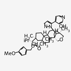 COc1ccc(COC(=O)[C@@H]2[C@@](C)([C@H](C)C(C)C)CC[C@]3(C)[C@H]4CC[C@@H]5[C@@]6(COC[C@]5(C)[C@@H](O)[C@H](n5nccc5-c5ccncc5)C6)C4=CC[C@@]23C)cc1